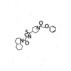 O=C(COc1ccccc1)N1CCC(c2nc(C(=O)N3CCCC4CCCCC43)cs2)CC1